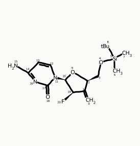 C=C1[C@H](CO[Si](C)(C)C(C)(C)C)O[C@H](n2ccc(N)nc2=O)[C@@H]1F